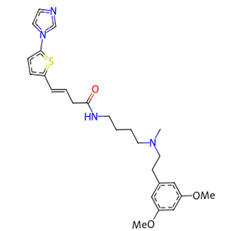 COc1cc(CCN(C)CCCCNC(=O)C/C=C/c2ccc(-n3ccnc3)s2)cc(OC)c1